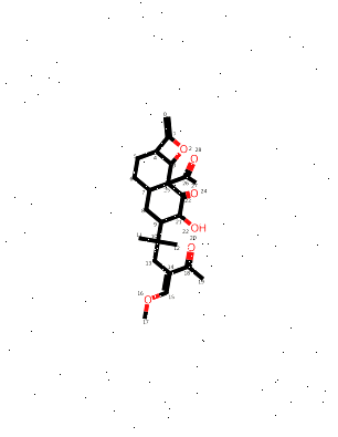 C=C1OC2C1CCC1CC(C(C)(C)C/C(=C\OC)C(C)=O)C(O)C(=O)C12C(C)=O